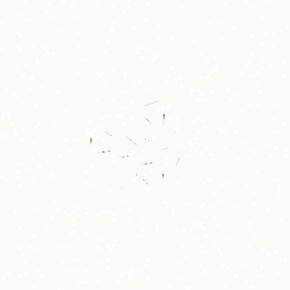 Cc1c2c(cc3ccccc13)N1c3ccccc3C(C)(C)c3ccc4cc[n+](C)c-2c4c31